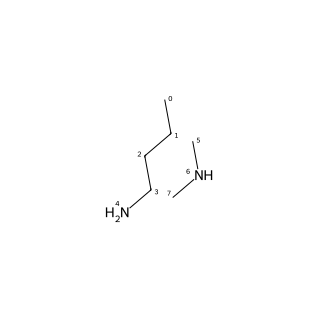 CCCCN.CNC